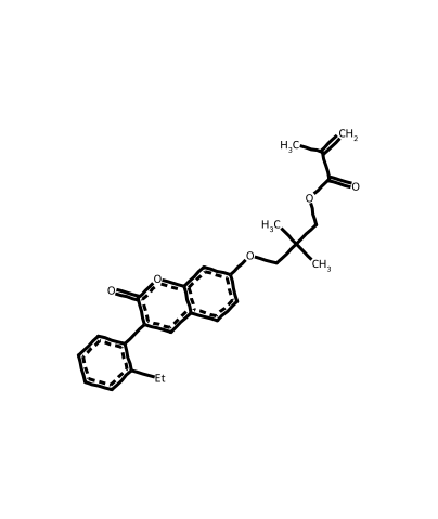 C=C(C)C(=O)OCC(C)(C)COc1ccc2cc(-c3ccccc3CC)c(=O)oc2c1